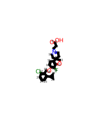 O=C(O)CCN1CCC2(CC1)COc1c2ccc(OCc2c(Cl)cccc2C2CC2)c1F